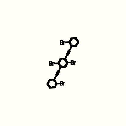 Brc1ccccc1C#Cc1cc(Br)c(C#Cc2ccccc2Br)cc1Br